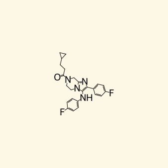 O=C(CCC1CC1)N1CCn2c(nc(-c3ccc(F)cc3)c2Nc2ccc(F)cc2)C1